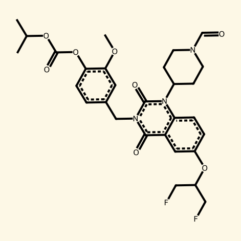 COc1cc(Cn2c(=O)c3cc(OC(CF)CF)ccc3n(C3CCN(C=O)CC3)c2=O)ccc1OC(=O)OC(C)C